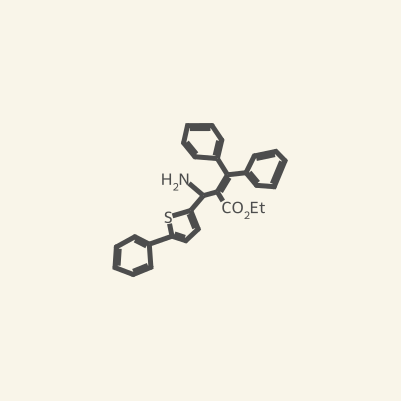 CCOC(=O)C(=C(c1ccccc1)c1ccccc1)C(N)c1ccc(-c2ccccc2)s1